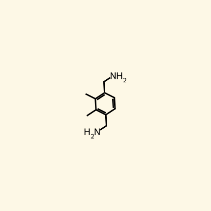 Cc1c(CN)ccc(CN)c1C